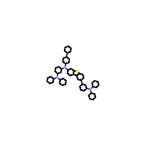 c1ccc(-c2ccc(N(c3cccc(N(c4ccccc4)c4ccccc4)c3)c3ccc4c(c3)sc3ccc(-c5cccc(N(c6ccccc6)c6ccccc6)c5)cc34)cc2)cc1